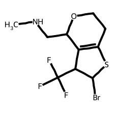 CNCC1OCCC2=C1C(C(F)(F)F)C(Br)S2